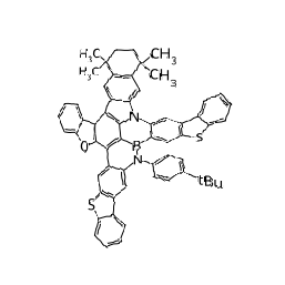 CC(C)(C)c1ccc(N2B3c4cc5sc6ccccc6c5cc4-n4c5cc6c(cc5c5c7c(oc8ccccc87)c(c3c54)-c3cc4sc5ccccc5c4cc32)C(C)(C)CCC6(C)C)cc1